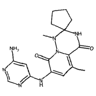 Cc1cc(Nc2cc(N)ncn2)c(=O)n2c1C(=O)NC1(CCCC1)N2C